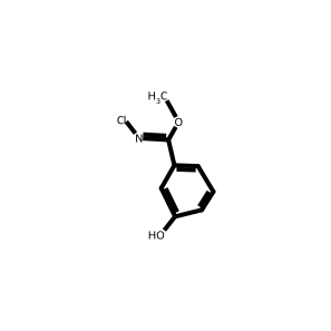 CO/C(=N\Cl)c1cccc(O)c1